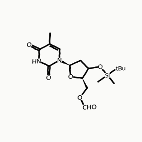 Cc1cn([C@H]2CC(O[Si](C)(C)C(C)(C)C)[C@@H](COC=O)O2)c(=O)[nH]c1=O